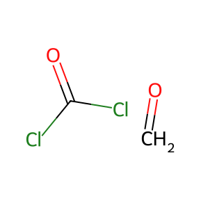 C=O.O=C(Cl)Cl